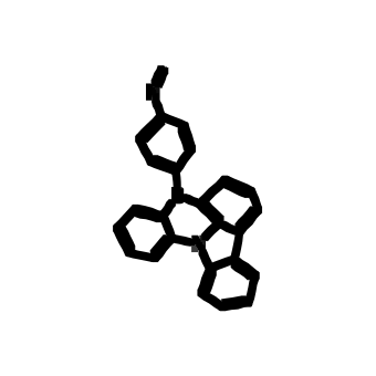 C=Nc1ccc(B2c3ccccc3-n3c4ccccc4c4cccc2c43)cc1